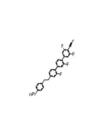 CC#Cc1c(F)cc(-c2ccc(-c3ccc(CCc4ccc(CCC)cc4)cc3F)cc2F)cc1F